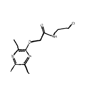 Cc1nc(C)c(OCC(=O)NCCCl)nc1C